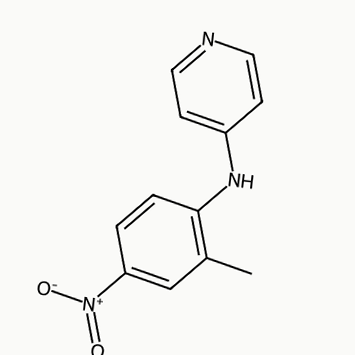 Cc1cc([N+](=O)[O-])ccc1Nc1ccncc1